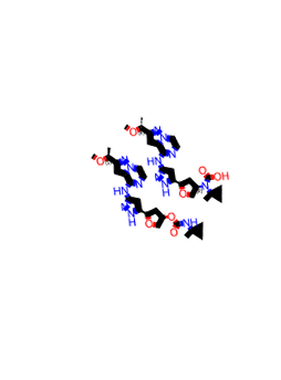 CO[C@@H](C)c1cc2c(Nc3cc([C@H]4C[C@@H](OC(=O)NC5(C)CC5)CO4)[nH]n3)nccn2n1.CO[C@H](C)c1cc2c(Nc3cc([C@H]4C[C@@H](N(C(=O)O)C5(C)CC5)CO4)[nH]n3)nccn2n1